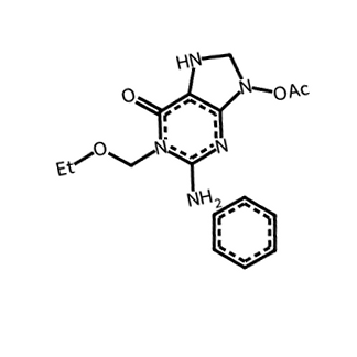 CCOCn1c(N)nc2c(c1=O)NCN2OC(C)=O.c1ccccc1